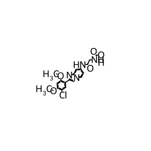 COc1cc(OC)c(-c2cn3ccc(NC(=O)CNC(=O)O)cc3n2)cc1Cl